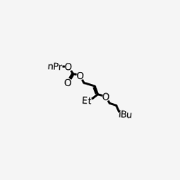 CCCOC(=O)OC/C=C(\CC)OCCC(C)CC